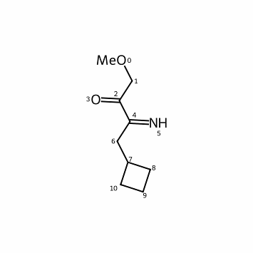 COCC(=O)C(=N)CC1CCC1